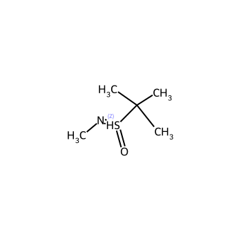 C/N=[SH](=O)/C(C)(C)C